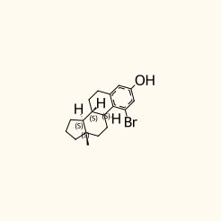 C[C@@]12CCC[C@H]1[C@@H]1CCc3cc(O)cc(Br)c3[C@H]1CC2